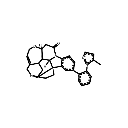 Cc1ccnn1-c1ccccc1-c1ccc2c(c1)[C@@]13CCN4CC5=CCO[C@H]6CC(=O)N2[C@H]1C6C5CC43